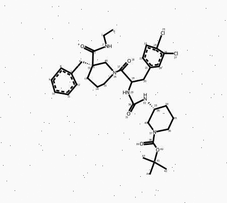 CCNC(=O)[C@]1(Cc2ccccc2)CCCN(C(=O)C(Cc2ccc(Cl)c(Cl)c2)NC(=O)N[C@@H]2CCCN(C(=O)OC(C)(C)C)C2)C1